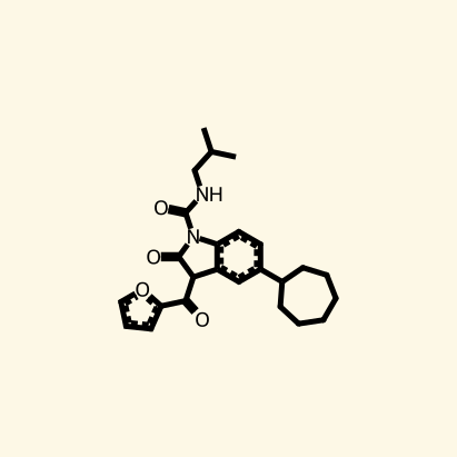 CC(C)CNC(=O)N1C(=O)C(C(=O)c2ccco2)c2cc(C3CCCCCC3)ccc21